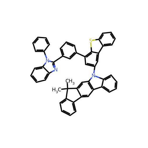 CC1(C)c2ccccc2-c2cc3c4ccccc4n(-c4cc(-c5cccc(-c6nc7ccccc7n6-c6ccccc6)c5)c5sc6ccccc6c5c4)c3cc21